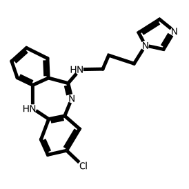 Clc1ccc2c(c1)N=C(NCCCn1ccnc1)c1ccccc1N2